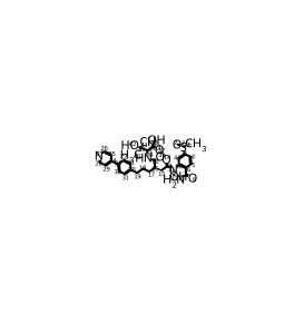 C[S+]([O-])c1ccc(C(N)=O)c(N(O)C(=O)C[C@@H](CCCc2ccc(-c3ccncc3)cc2)C(=O)NC(C(=O)O)C(C)(C)O)c1